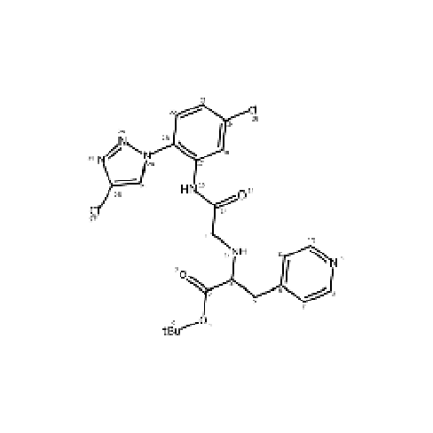 CC(C)(C)OC(=O)C(Cc1ccncc1)NCC(=O)Nc1cc(Cl)ccc1-n1cc(Cl)nn1